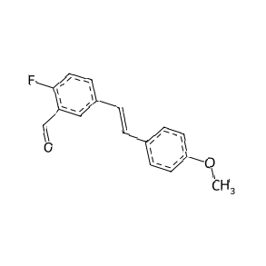 COc1ccc(C=Cc2ccc(F)c(C=O)c2)cc1